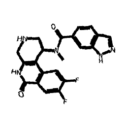 CN(C(=O)c1ccc2cn[nH]c2c1)C1CNCc2[nH]c(=O)c3cc(F)c(F)cc3c21